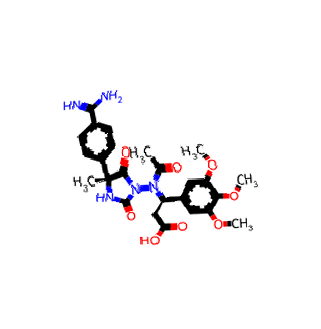 COc1cc([C@@H](CC(=O)O)N(C(C)=O)N2C(=O)N[C@](C)(c3ccc(C(=N)N)cc3)C2=O)cc(OC)c1OC